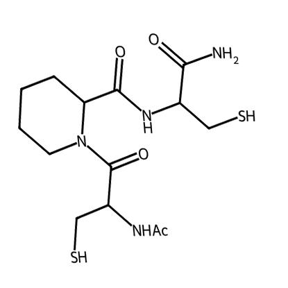 CC(=O)NC(CS)C(=O)N1CCCCC1C(=O)NC(CS)C(N)=O